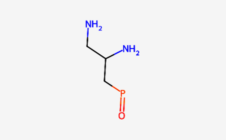 NCC(N)CP=O